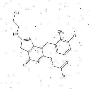 Cc1c(Cl)cccc1Cn1c(SCC(=O)O)nc(=O)c2sc(NCCO)nc21